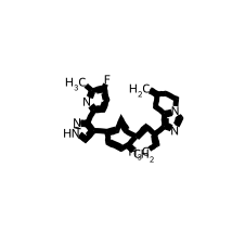 C=C1CCn2cnc(C(/C=C3/C=C/C=C(c4c[nH]nc4-c4ccc(F)c(C)n4)/C=C\C3=C)=C/C)c2C1